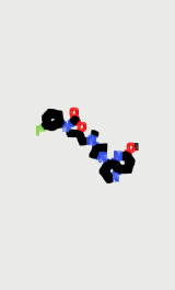 COc1ccc2nccc(N3CC(N(C)CC4CN(c5cccc(F)c5)C(=O)O4)C3)c2n1